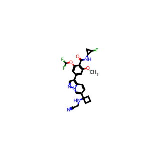 COc1cc(-c2cnn3cc(C4(NCC#N)CCC4)ccc23)cc(OC(F)F)c1C(=O)NC1CC1F